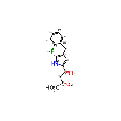 O=C(O)C(=O)CC(=O)c1cc(Cc2ccccc2F)c[nH]1